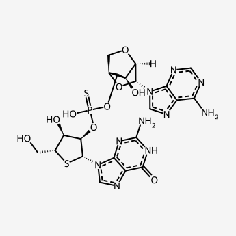 Nc1nc2c(ncn2[C@@H]2S[C@H](CO)[C@@H](O)[C@H]2OP(O)(=S)OC2[C@@]34CO[C@@H]([C@H](n5cnc6c(N)ncnc65)O3)[C@@]24O)c(=O)[nH]1